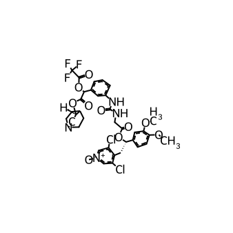 COc1ccc([C@H](Cc2c(Cl)c[n+]([O-])cc2Cl)OC(=O)CNC(=O)Nc2cccc(C(OC(=O)C(F)(F)F)C(=O)O[C@H]3CN4CCC3CC4)c2)cc1OC